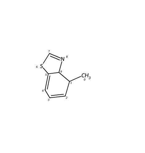 CC1C=CC=C2SC=NC21